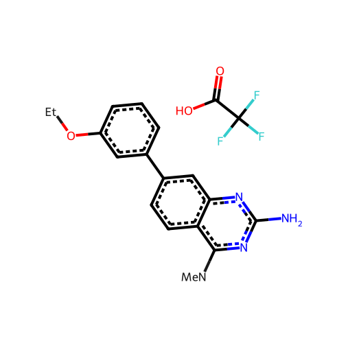 CCOc1cccc(-c2ccc3c(NC)nc(N)nc3c2)c1.O=C(O)C(F)(F)F